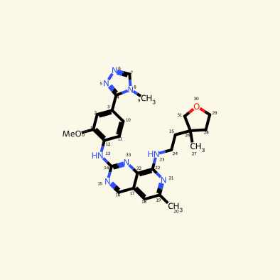 COc1cc(-c2nncn2C)ccc1Nc1ncc2cc(C)nc(NCCC3(C)CCOC3)c2n1